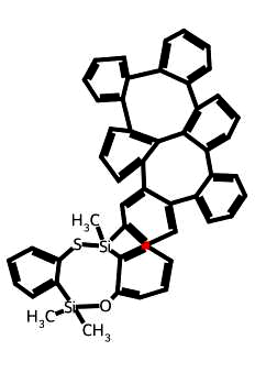 C[Si]1(C)Oc2ccccc2[Si](C)(c2ccc3c(c2)c2cccc4c2-c2c(cccc2c2ccccc23)c2ccccc2c2ccccc42)Sc2ccccc21